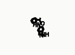 CC(C(=O)Nc1ccc2[nH]ncc2c1)c1ccccc1